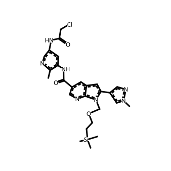 Cc1ncc(NC(=O)CCl)cc1NC(=O)c1cnc2c(c1)cc(-c1cnn(C)c1)n2COCC[Si](C)(C)C